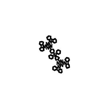 c1ccc([Si](c2ccccc2)(c2ccc(-c3nc(-n4c5ccccc5c5ccccc54)nc(-n4c5ccccc5c5ccccc54)n3)cc2)c2ccc(-c3nc(-n4c5ccccc5c5ccccc54)nc(-n4c5ccccc5c5ccccc54)n3)cc2)cc1